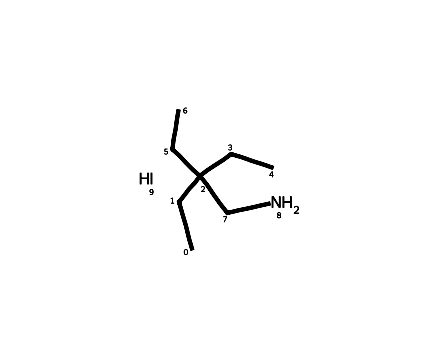 CCC(CC)(CC)CN.I